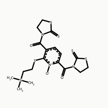 C[Si](C)(C)CCSc1c(C(=O)N2CCSC2=S)ccc(C(=O)N2CCSC2=S)[n+]1[O-]